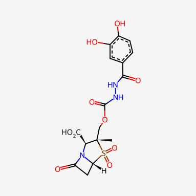 C[C@]1(COC(=O)NNC(=O)c2ccc(O)c(O)c2)[C@H](C(=O)O)N2C(=O)C[C@H]2S1(=O)=O